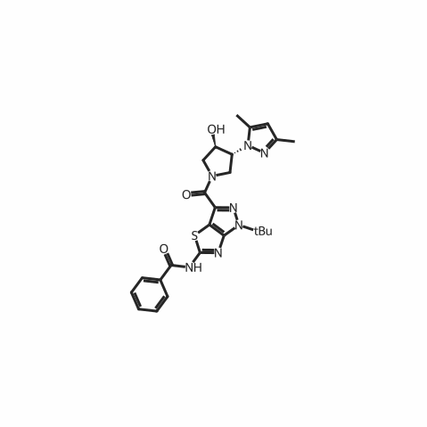 Cc1cc(C)n([C@@H]2CN(C(=O)c3nn(C(C)(C)C)c4nc(NC(=O)c5ccccc5)sc34)C[C@H]2O)n1